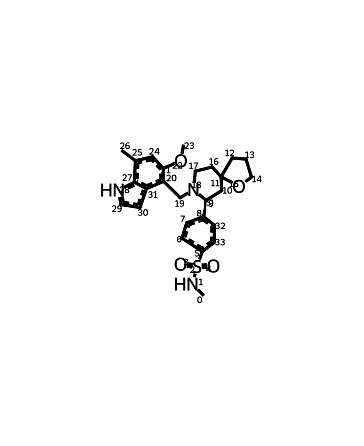 CNS(=O)(=O)c1ccc([C@@H]2CC3(CCCO3)CCN2Cc2c(OC)cc(C)c3[nH]ccc23)cc1